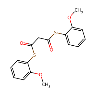 COc1ccccc1SC(=O)CC(=O)Sc1ccccc1OC